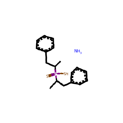 CC(Cc1ccccc1)P(=S)(S)C(C)Cc1ccccc1.N